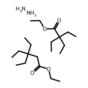 CCOC(=O)C(CC)(CC)CC.CCOC(=O)CC(CC)(CC)CC.N.N